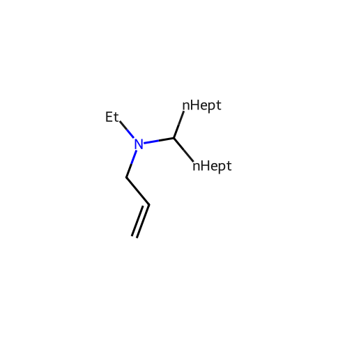 C=CCN(CC)C(CCCCCCC)CCCCCCC